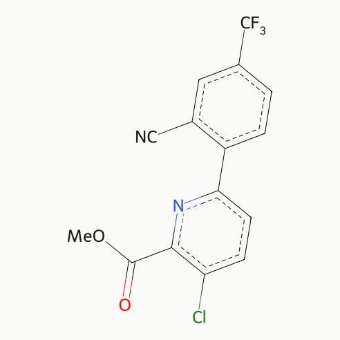 COC(=O)c1nc(-c2ccc(C(F)(F)F)cc2C#N)ccc1Cl